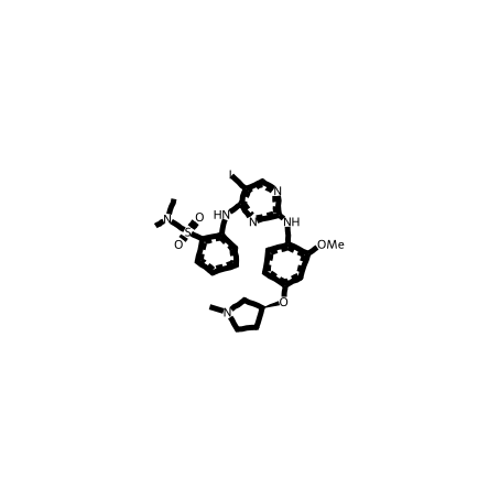 COc1cc(O[C@H]2CCN(C)C2)ccc1Nc1ncc(I)c(Nc2ccccc2S(=O)(=O)N(C)C)n1